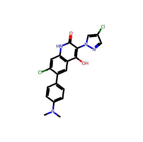 CN(C)c1ccc(-c2cc3c(O)c(-n4cc(Cl)cn4)c(=O)[nH]c3cc2Cl)cc1